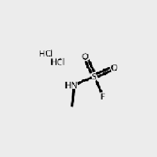 CNS(=O)(=O)F.Cl.Cl